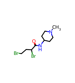 CN1CCC(NC(=O)C(Br)CCBr)CC1